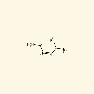 CCC(Br)/C=N\CN